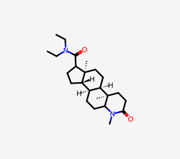 CCN(CC)C(=O)C1CC[C@H]2[C@@H]3CCC4N(C)C(=O)CC[C@]4(C)[C@@H]3CC[C@]12C